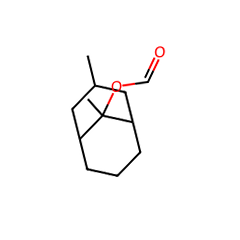 CC1CC2CCCC(C1)C2(C)OC=O